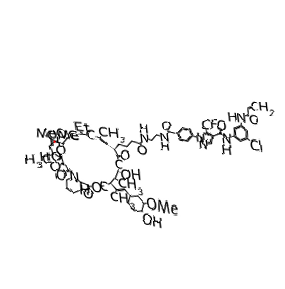 C=CC(=O)Nc1cc(Cl)cc(NC(=O)c2cnn(-c3ccc(C(=O)NCCNC(=O)CCC[C@@H]4/C=C(\C)C[C@H](CC)C[C@H](OC)[C@H]5O[C@@](O)(C(=O)C(=O)N6CCCC[C@H]6C(=O)OC[C@H](/C(C)=C/[C@@H]6CC[C@@H](O)[C@H](OC)C6)[C@H](C)[C@@H](O)CC4=O)[C@H](C)C[C@@H]5OC)cc3)c2C(F)(F)F)c1